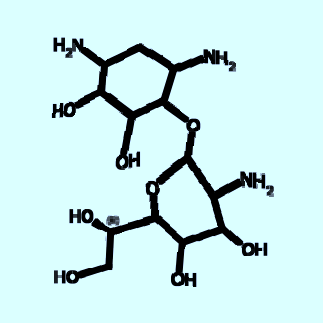 NC1CC(N)C(OC2OC([C@H](O)CO)C(O)C(O)C2N)C(O)C1O